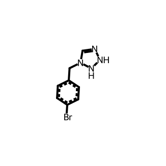 Brc1ccc(CN2C=NNN2)cc1